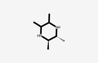 CC1N[C@H](C)[C@@H](C)NC1C